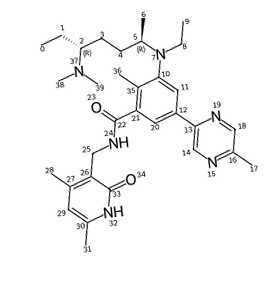 CC[C@H](CC[C@@H](C)N(CC)c1cc(-c2cnc(C)cn2)cc(C(=O)NCc2c(C)cc(C)[nH]c2=O)c1C)N(C)C